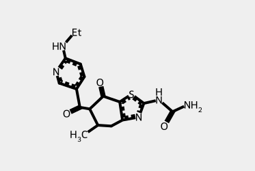 CCNc1ccc(C(=O)C2C(=O)c3sc(NC(N)=O)nc3CC2C)cn1